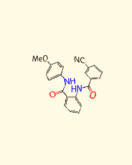 COc1ccc(NC(=O)c2ccccc2NC(=O)c2cccc(C#N)c2)cc1